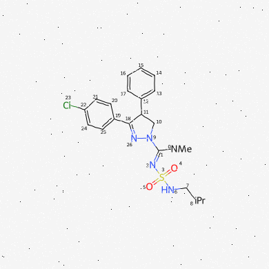 CN/C(=N\S(=O)(=O)NCC(C)C)N1CC(c2ccccc2)C(c2ccc(Cl)cc2)=N1